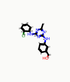 Cc1nc(Nc2cccc(CO)c2)nc(Nc2ccccc2Cl)n1